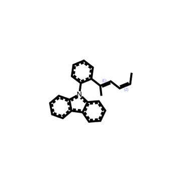 C/C=C\C=C(/C)c1ccccc1-n1c2ccccc2c2ccccc21